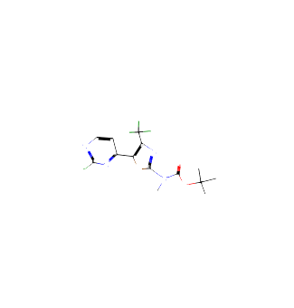 CN(C(=O)OC(C)(C)C)c1nc(C(F)(F)F)c(-c2ccnc(Cl)n2)s1